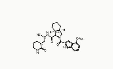 COc1cccc2[nH]c(C(=O)N3C[C@@H]4CCCC[C@@H]4C3C(=O)N[C@H](C#N)C[C@@H]3CCCNC3=O)cc12